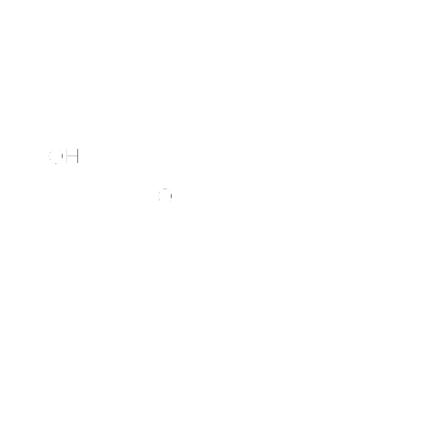 OCc1ccc(-c2ccccc2)o1